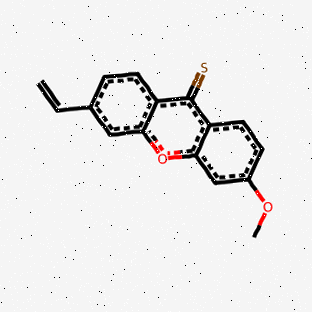 C=Cc1ccc2c(=S)c3ccc(OC)cc3oc2c1